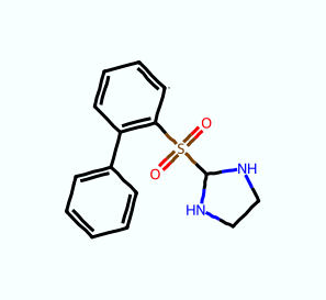 O=S(=O)(c1[c]cccc1-c1ccccc1)C1NCCN1